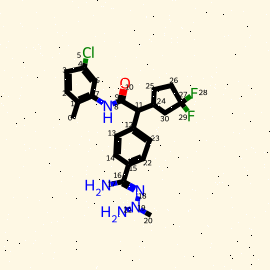 Cc1ccc(Cl)cc1NC(=O)C(c1ccc(/C(N)=N/N(C)N)cc1)C1CCC(F)(F)C1